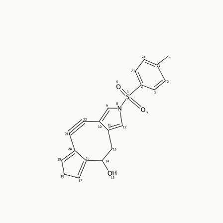 Cc1ccc(S(=O)(=O)n2cc3c(c2)CC(O)C2=CCC=C2C#C3)cc1